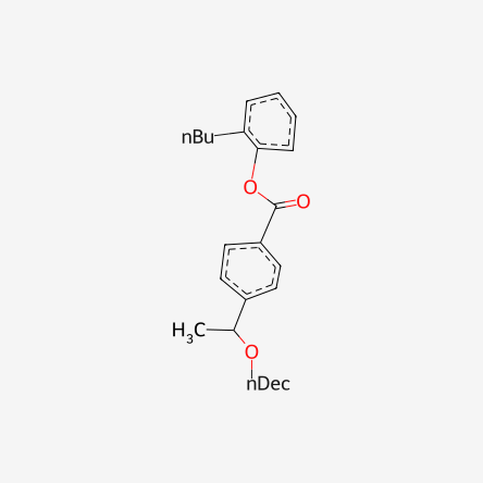 CCCCCCCCCCOC(C)c1ccc(C(=O)Oc2ccccc2CCCC)cc1